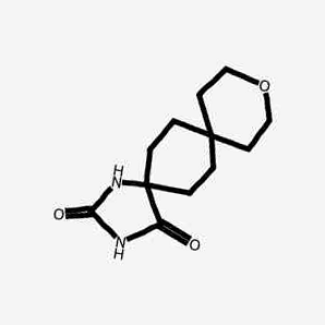 O=C1NC(=O)C2(CCC3(CCOCC3)CC2)N1